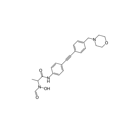 CC(C(=O)Nc1ccc(C#Cc2ccc(CN3CCOCC3)cc2)cc1)N(O)C=O